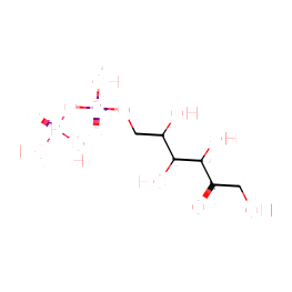 O=C(CO)C(O)C(O)C(O)COP(=O)(O)OP(=O)(O)O